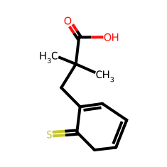 CC(C)(CC1=CC=CCC1=S)C(=O)O